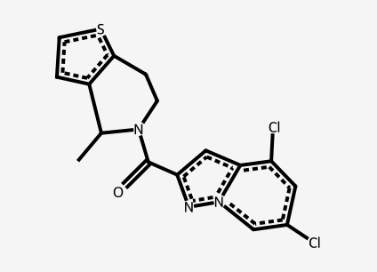 CC1c2ccsc2CCN1C(=O)c1cc2c(Cl)cc(Cl)cn2n1